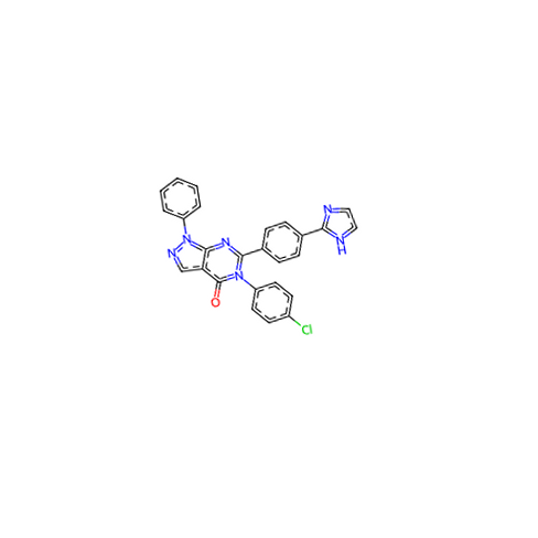 O=c1c2cnn(-c3ccccc3)c2nc(-c2ccc(-c3ncc[nH]3)cc2)n1-c1ccc(Cl)cc1